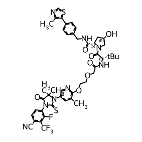 Cc1cc(N2C(=S)N(c3ccc(C#N)c(C(F)(F)F)c3F)C(=O)C2(C)C)cnc1OCCOCC(=O)N[C@H](C(=O)N1C[C@H](O)C[C@H]1C(=O)NCc1ccc(-c2scnc2C)cc1)C(C)(C)C